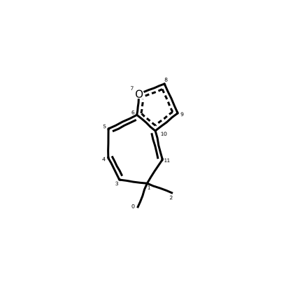 CC1(C)C=CC=c2occc2=C1